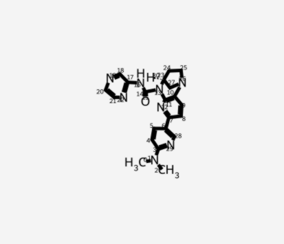 CN(C)c1ccc(-c2ccc3c(n2)N(C(=O)Nc2cnccn2)[C@H]2CCN3C2)cn1